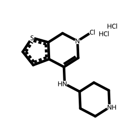 Cl.Cl.ClN1C=C(NC2CCNCC2)c2ccsc2C1